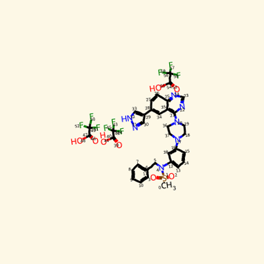 CS(=O)(=O)N(Cc1ccccc1)c1cccc(N2CCN(c3ncnc4ccc(-c5cn[nH]c5)cc34)CC2)c1.O=C(O)C(F)(F)F.O=C(O)C(F)(F)F.O=C(O)C(F)(F)F